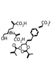 C=C(C)C(=O)OCC(C=Cc1ccccc1)OC(=O)C(=C)C.C=C(CCCC)C(=O)O.C=C(CCCCO)C(=O)O.C=CC(=O)O